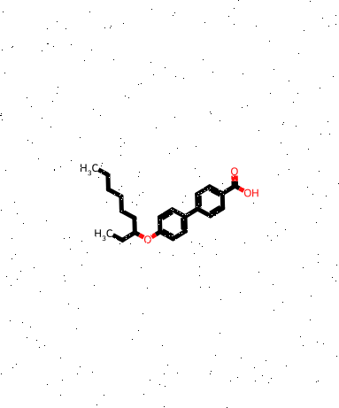 CCCCCCC(CC)Oc1ccc(-c2ccc(C(=O)O)cc2)cc1